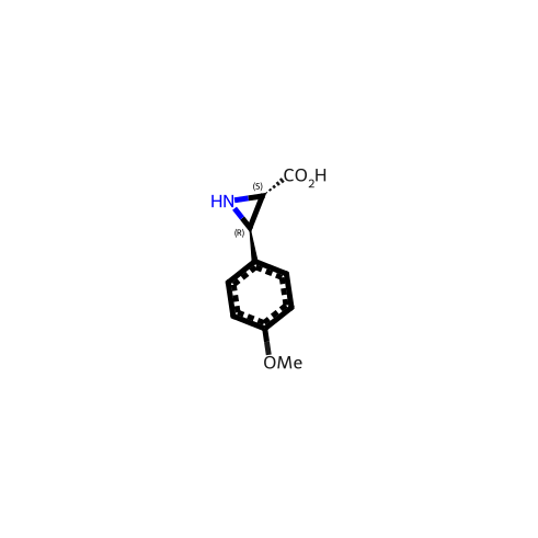 COc1ccc([C@H]2N[C@@H]2C(=O)O)cc1